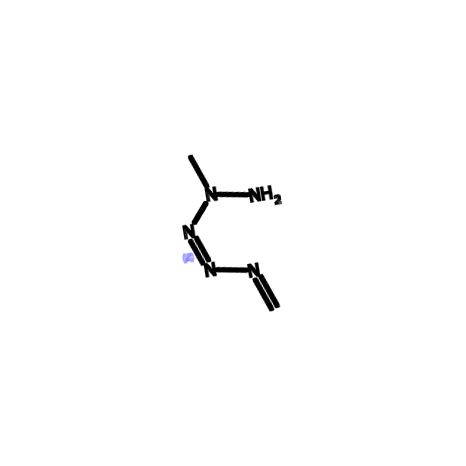 C=N/N=N\N(C)N